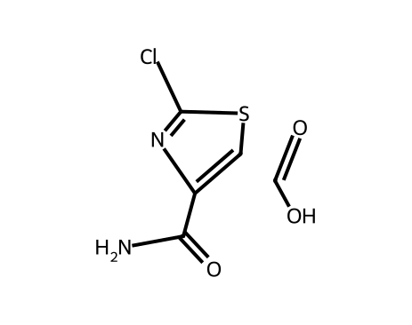 NC(=O)c1csc(Cl)n1.O=CO